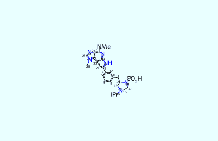 CNc1nc2[nH]c(-c3cccc(CC4CN(C(C)C)CCN4C(=O)O)c3)cc2c2c1ncn2C